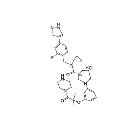 CC(C)(Oc1cccc(N2CCC[C@@H](C(=O)N(Cc3ccc(-c4cn[nH]c4)cc3F)C3CC3)C2)c1)C(=O)N1CCNCC1.Cl